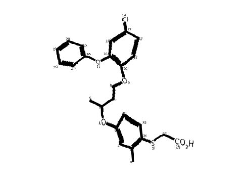 Cc1cc(OC(C)CCOc2ccc(Cl)cc2Oc2ccccc2)ccc1SCC(=O)O